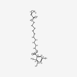 C=CC(=O)OCCCCCCCCCCOC(=O)c1cc(I)cc(I)c1I